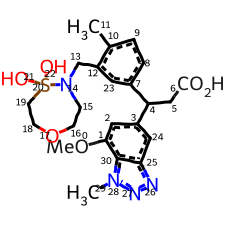 COc1cc(C(CC(=O)O)c2ccc(C)c(CN3CCOCCS3(O)O)c2)cc2nnn(C)c12